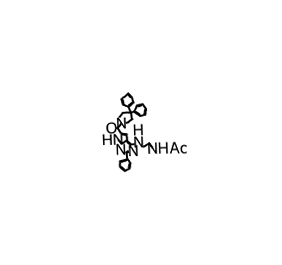 CC(=O)NCCNc1nc(-c2ccccc2)nc2[nH]c(C(=O)N3CCC(c4ccccc4)(c4ccccc4)CC3)cc12